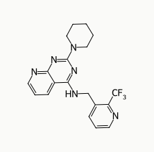 FC(F)(F)c1ncccc1CNc1nc(N2CCCCC2)nc2ncccc12